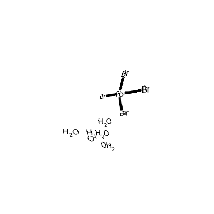 O.O.O.O.O.[Br][Pb]([Br])([Br])[Br]